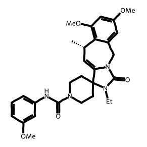 CCN1C(=O)N2Cc3cc(OC)cc(OC)c3[C@@H](C)C=C2C12CCN(C(=O)Nc1cccc(OC)c1)CC2